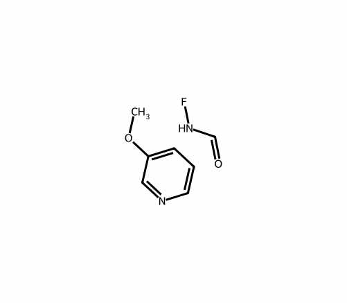 COc1cccnc1.O=CNF